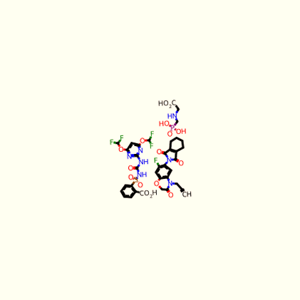 C#CCN1C(=O)COc2cc(F)c(N3C(=O)C4=C(CCCC4)C3=O)cc21.O=C(Nc1nc(OC(F)F)cc(OC(F)F)n1)NS(=O)(=O)c1ccccc1C(=O)O.O=C(O)CNCP(=O)(O)O